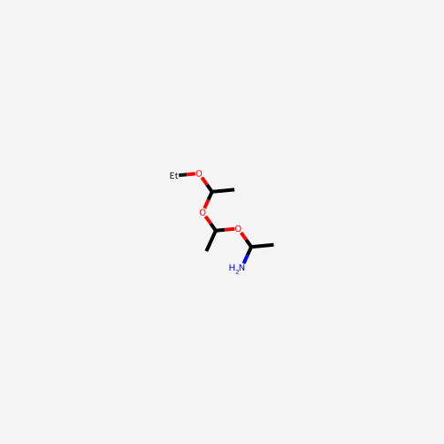 CCOC(C)OC(C)OC(C)N